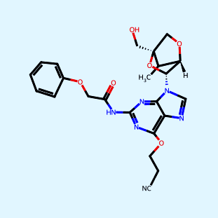 CC1[C@@H]2OC[C@]1(CO)O[C@H]2n1cnc2c(OCCC#N)nc(NC(=O)COc3ccccc3)nc21